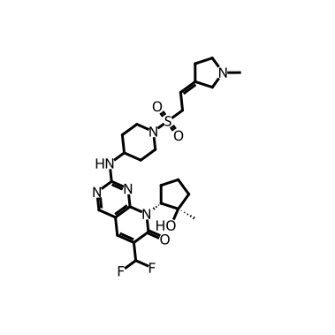 CN1CC/C(=C/CS(=O)(=O)N2CCC(Nc3ncc4cc(C(F)F)c(=O)n([C@@H]5CCC[C@@]5(C)O)c4n3)CC2)C1